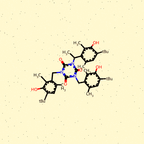 Cc1cc(C(C)(C)C)c(O)c(C)c1Cn1c(=O)n(Cc2c(C)cc(C(C)(C)C)c(O)c2C)c(=O)n(C(C)c2c(C)cc(C(C)(C)C)c(O)c2C)c1=O